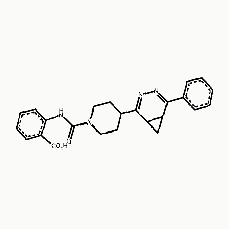 O=C(O)c1ccccc1NC(=O)N1CCC(C2=NN=C(c3ccccc3)C3CC23)CC1